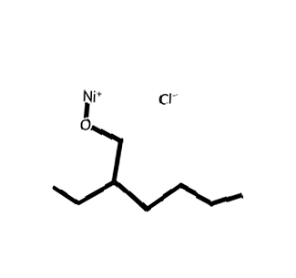 CCCCC(CC)C[O][Ni+].[Cl-]